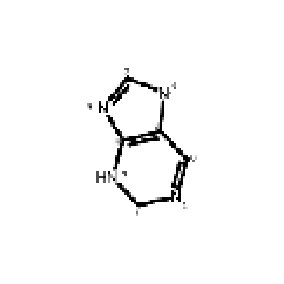 C1=NCNC2=C1[N]C=N2